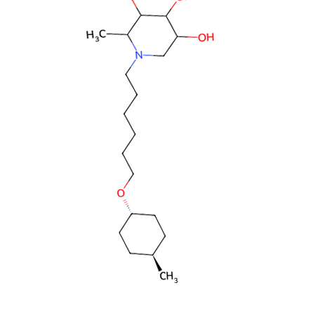 CC1C(O)C(O)C(O)CN1CCCCCCO[C@H]1CC[C@H](C)CC1